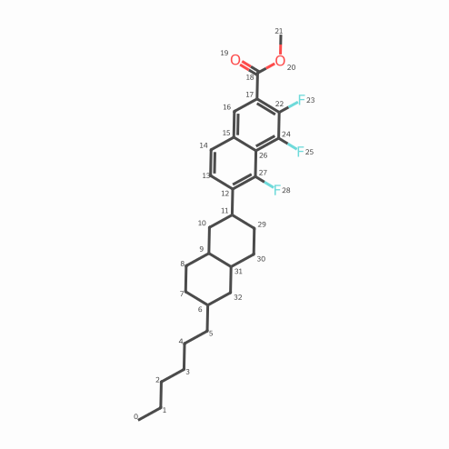 CCCCCCC1CCC2CC(c3ccc4cc(C(=O)OC)c(F)c(F)c4c3F)CCC2C1